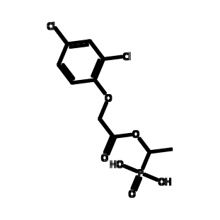 CC(OC(=O)COc1ccc(Cl)cc1Cl)P(=O)(O)O